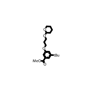 COC(=O)c1cc(OCCCOC2CCCCO2)cc(C(C)(C)C)c1